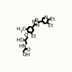 CCc1cc(-c2nc(-c3cc(C)c(OCC(O)CNC(=O)CO)c(CC)c3)no2)cnc1CC